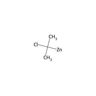 C[C](C)(Cl)[Zn]